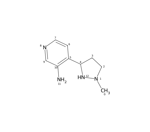 CN1CCC(c2ccncc2N)N1